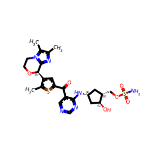 Cc1nc2n(c1C)CCO[C@@H]2c1cc(C(=O)c2cncnc2N[C@@H]2C[C@H](COS(N)(=O)=O)[C@@H](O)C2)sc1C